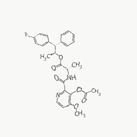 COc1ccnc(C(=O)N[C@@H](C)C(=O)O[C@@H](C)[C@@H](c2ccccc2)c2ccc(F)cc2)c1OC(C)=O